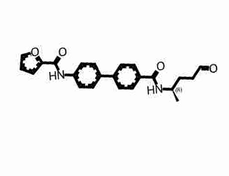 C[C@H](CCC=O)NC(=O)c1ccc(-c2ccc(NC(=O)c3ccco3)cc2)cc1